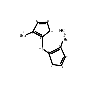 CC(C)(C)C1=[C]([Hf][C]2=C(C(C)(C)C)C=CC2)CC=C1.Cl